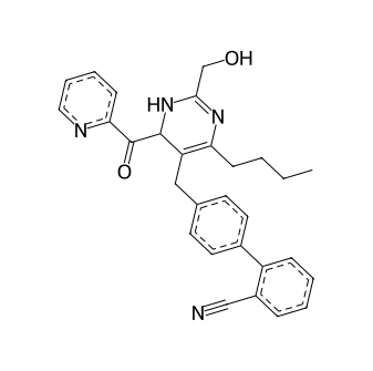 CCCCC1=C(Cc2ccc(-c3ccccc3C#N)cc2)C(C(=O)c2ccccn2)NC(CO)=N1